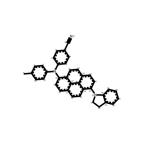 Cc1ccc(N(c2ccc(C#N)cc2)c2ccc3ccc4c(N5CCc6ccccc65)ccc5ccc2c3c54)cc1